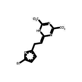 CCc1ccc(CC=C2N=C(C(Cl)(Cl)Cl)N=C(C(Cl)(Cl)Cl)N2)o1